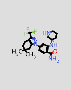 CC1(C)CCc2c(C(F)(F)F)nn(-c3ccc(C(N)=O)c(N[C@@H]4CCCNC4)c3)c2C1